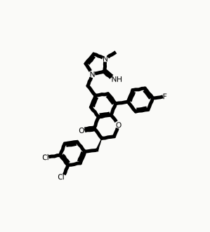 Cn1ccn(Cc2cc3c(c(-c4ccc(F)cc4)c2)OC[C@@H](Cc2ccc(Cl)c(Cl)c2)C3=O)c1=N